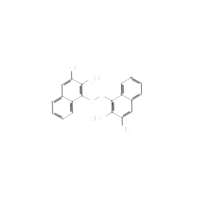 Cc1cc2ccccc2c(SSc2c(C)c(C)cc3ccccc23)c1C